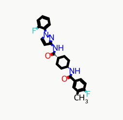 Cc1cc(C(=O)N[C@H]2CC[C@@H](C(=O)Nc3ccn(-c4ccccc4F)n3)CC2)ccc1F